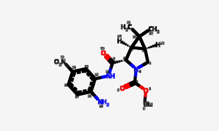 CC(C)(C)OC(=O)N1C[C@H]2[C@@H]([C@H]1C(=O)Nc1cc([N+](=O)[O-])ccc1N)C2(C)C